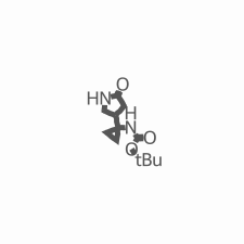 CC(C)(C)OC(=O)NC1(C2CNC(=O)C2)CC1